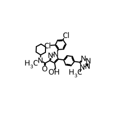 CN(C(=O)c1nn(-c2ccc(Cl)cc2Cl)c(-c2ccc(-c3nnnn3C)cc2)c1CO)C1CCCCC1